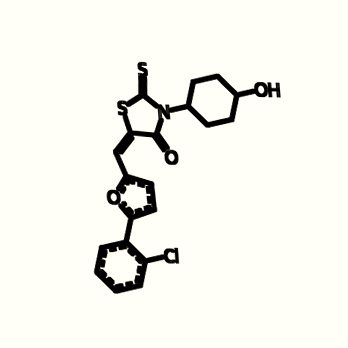 O=C1/C(=C\c2ccc(-c3ccccc3Cl)o2)SC(=S)N1C1CCC(O)CC1